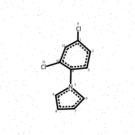 Clc1ccc(-n2[c]ccc2)c(Cl)c1